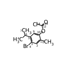 Cc1cc(Br)c(C(C)C)cc1OC(=O)Cl